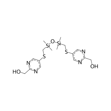 C[Si](C)(CSc1cnc(CO)nc1)O[Si](C)(C)CSc1cnc(CO)nc1